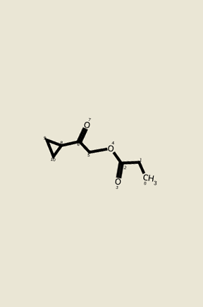 CCC(=O)OCC(=O)C1CC1